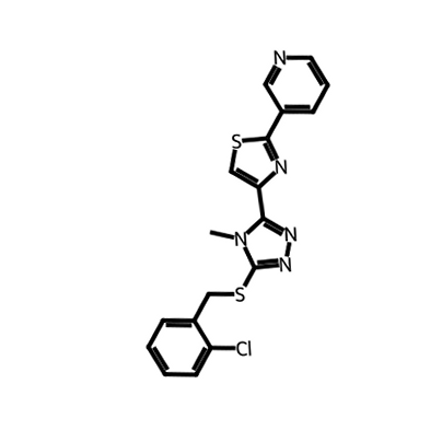 Cn1c(SCc2ccccc2Cl)nnc1-c1csc(-c2cccnc2)n1